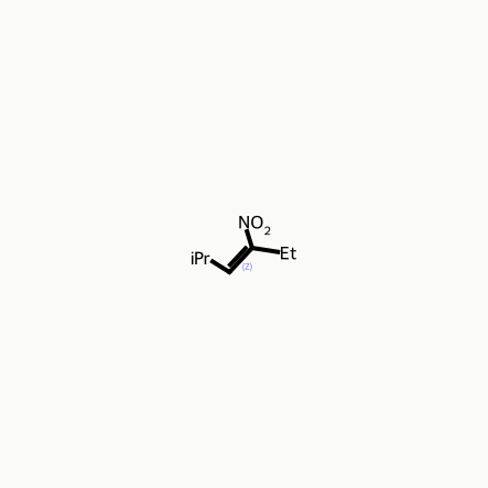 CC/C(=C/C(C)C)[N+](=O)[O-]